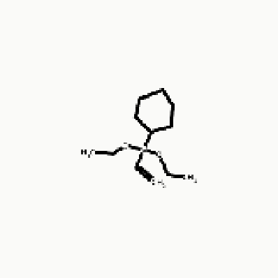 C=C[Si](OCC)(OCC)C1CCCCC1